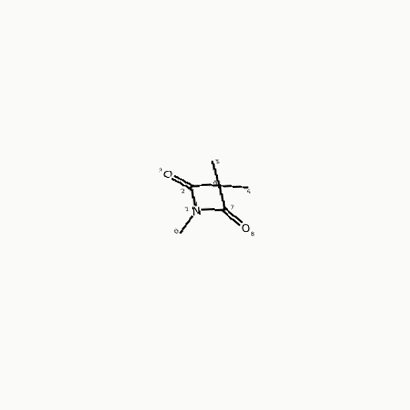 CN1C(=O)C(C)(C)C1=O